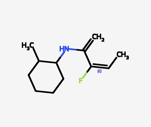 C=C(NC1CCCCC1C)/C(F)=C\C